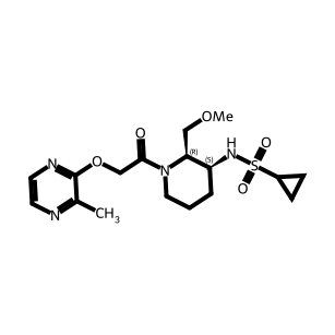 COC[C@H]1[C@@H](NS(=O)(=O)C2CC2)CCCN1C(=O)COc1nccnc1C